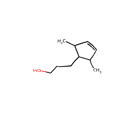 CC1C=CC(C)C1CCCO